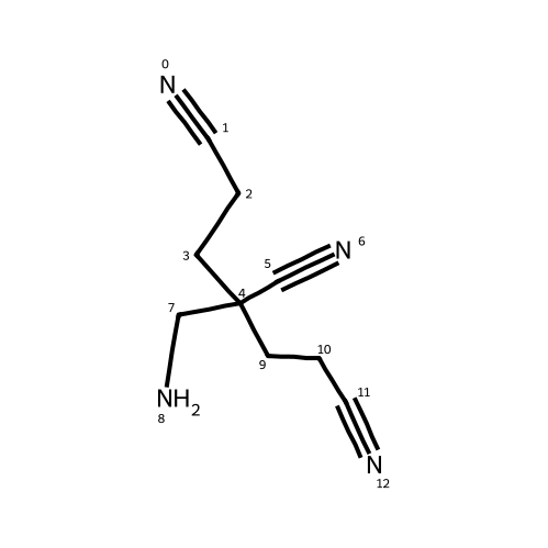 N#CCCC(C#N)(CN)CCC#N